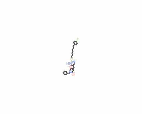 O=c1[nH]c(SCCCCCCCCc2ccc(F)cc2)ncc1Cc1ccn(Cc2ccccc2)c(=O)c1